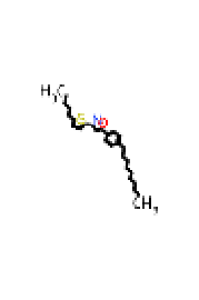 CCCCCCCCCCc1ccc(-c2cc(-c3ccc(CCCCC)s3)no2)cc1